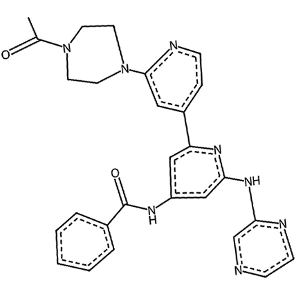 O=C(Nc1cc(Nc2cnccn2)nc(-c2ccnc(N3CCN(C(=O)O)CC3)c2)c1)c1ccccc1